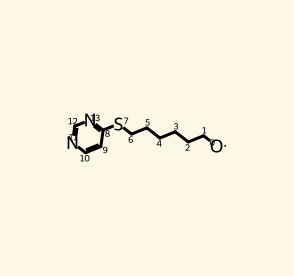 [O]CCCCCCSc1ccncn1